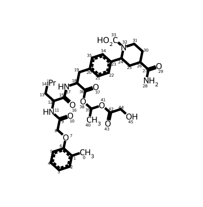 Cc1ccccc1OCC(=O)NC(CC(C)C)C(=O)NC(Cc1ccc(C2CC(C(N)=O)CCN2C(=O)O)cc1)C(=O)OC(C)OC(=O)CO